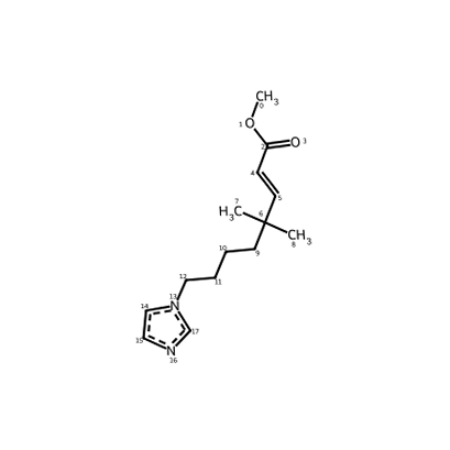 COC(=O)C=CC(C)(C)CCCCn1ccnc1